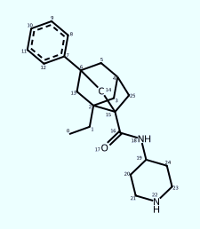 CCC12CC3CC(c4ccccc4)(C1)CC2(C(=O)NC1CCNCC1)C3